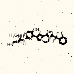 CN/C(=C\C=N)Nc1ncc(C)c(-c2cc3n(c2)CCn2c-3nnc2C(F)(F)c2ccccc2Cl)n1